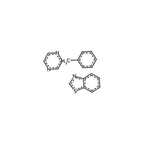 Cc1ccccc1.c1ccc2scnc2c1.c1cnccn1